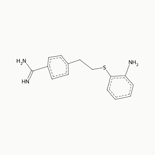 N=C(N)c1ccc(CCSc2ccccc2N)cc1